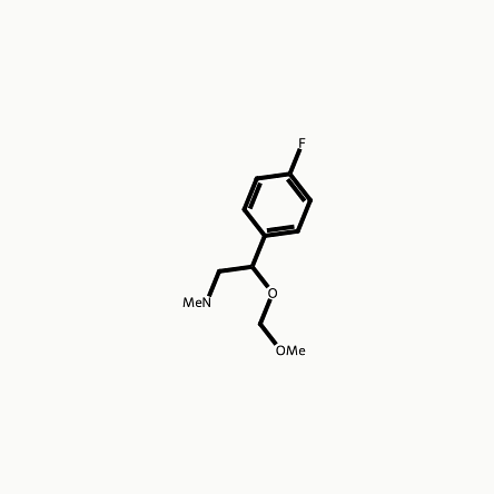 CNCC(OCOC)c1ccc(F)cc1